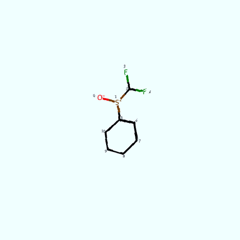 [O-][S+](C(F)F)C1CCCCC1